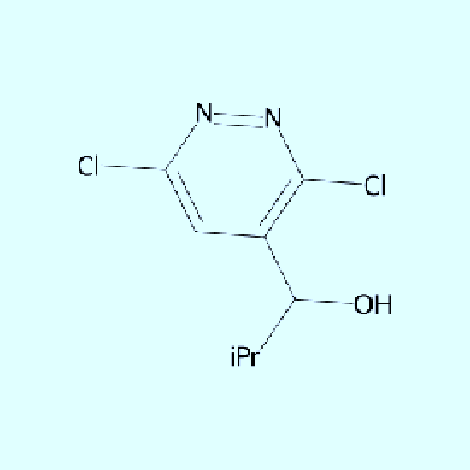 CC(C)C(O)c1cc(Cl)nnc1Cl